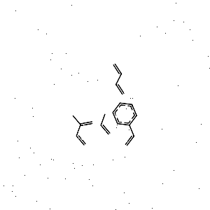 C=CC.C=CC(=C)C.C=CC=C.C=Cc1ccccc1